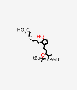 CCCCCC(C)C(CCC1=CCC(O)[C@@H]1CCC=C=CCC(=O)O)O[Si](C)(C)C(C)(C)C